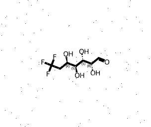 O=C[C@H](O)[C@@H](O)[C@@H](O)[C@H](O)CC(F)(F)F